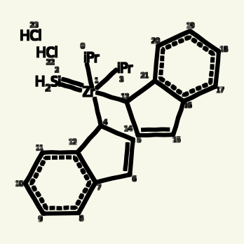 C[CH](C)[Zr](=[SiH2])([CH](C)C)([CH]1C=Cc2ccccc21)[CH]1C=Cc2ccccc21.Cl.Cl